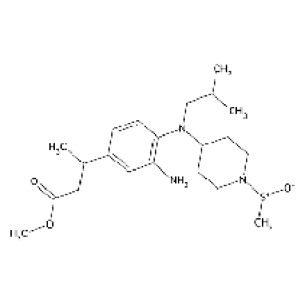 COC(=O)CC(C)c1ccc(N(CC(C)C)C2CCN([S+](C)[O-])CC2)c(N)c1